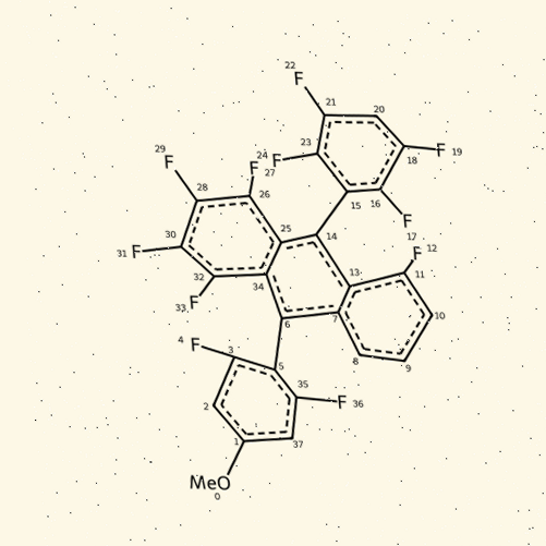 COc1cc(F)c(-c2c3cccc(F)c3c(-c3c(F)c(F)cc(F)c3F)c3c(F)c(F)c(F)c(F)c23)c(F)c1